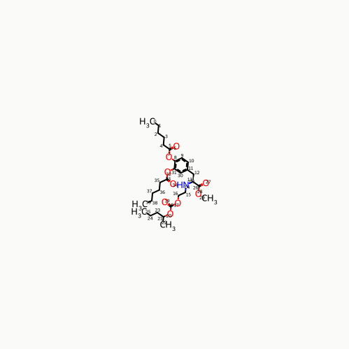 CCCCCC(=O)Oc1ccc(C[C@H](NCCOC(=O)OC(C)CCC)C(=O)OC)cc1OC(=O)CCCCC